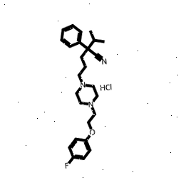 CC(C)C(C#N)(CCCN1CCN(CCOc2ccc(F)cc2)CC1)c1ccccc1.Cl